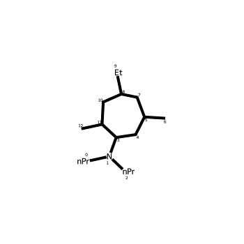 CCCN(CCC)C1CC(C)CC(CC)CC1C